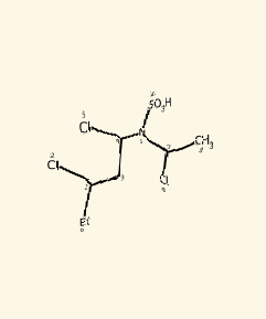 CCC(Cl)CC(Cl)N(C(C)Cl)S(=O)(=O)O